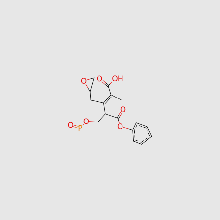 CC(C(=O)O)=C(CC1CO1)C(COP=O)C(=O)Oc1ccccc1